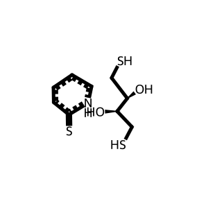 O[C@H](CS)[C@H](O)CS.S=c1cccc[nH]1